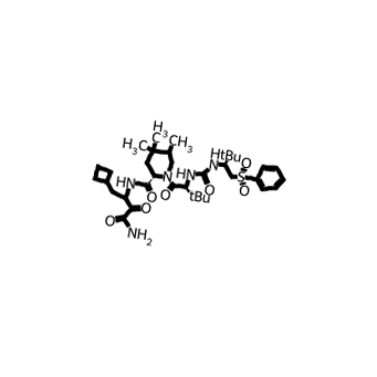 CC1CN(C(=O)[C@@H](NC(=O)N[C@H](CS(=O)(=O)c2ccccc2)C(C)(C)C)C(C)(C)C)[C@H](C(=O)NC(CC2CCC2)C(=O)C(N)=O)CC1(C)C